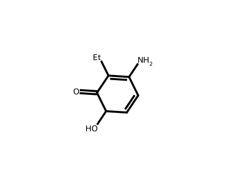 CCC1=C(N)C=CC(O)C1=O